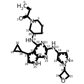 C=CC(=O)N1CCC[C@@H](Nc2nc(Nc3cnn(C4COC4)c3)nc3[nH]cc(C4CC4)c23)C1